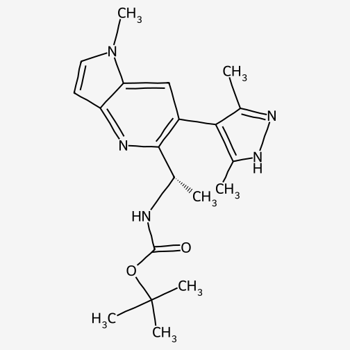 Cc1n[nH]c(C)c1-c1cc2c(ccn2C)nc1[C@H](C)NC(=O)OC(C)(C)C